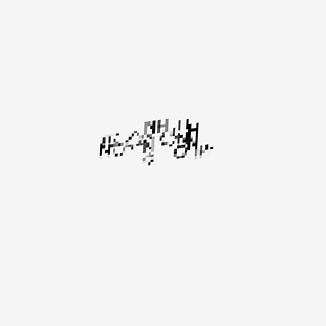 CC(C)NC(=O)Nc1ccc(-c2c(N)c3ccc(Oc4ncco4)cc3n2C2CCC2)cc1